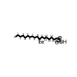 CCCCCCCCCCCCCCCCCCS(=O)(=O)O.[Fe]